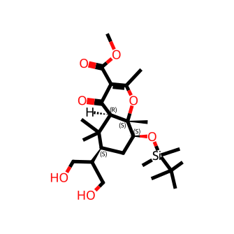 COC(=O)C1=C(C)O[C@]2(C)[C@@H](O[Si](C)(C)C(C)(C)C)C[C@@H](C(CO)CO)C(C)(C)[C@H]2C1=O